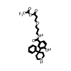 O=C(CCOCCCNC(=O)c1ccc(O)c(C2(c3ccccc3)CCNCC2)c1)OC(=O)C(F)(F)F